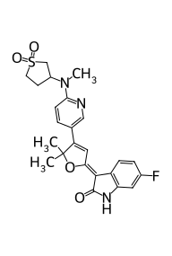 CN(c1ccc(C2=CC(=C3C(=O)Nc4cc(F)ccc43)OC2(C)C)cn1)C1CCS(=O)(=O)C1